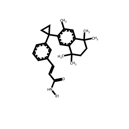 CCNC(=O)C=Cc1cccc(C2(c3cc4c(cc3C)C(C)(C)CCC4(C)C)CC2)c1